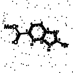 COC(=O)c1ccc2nc(Br)sc2n1